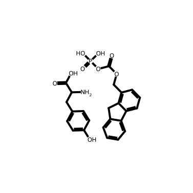 NC(Cc1ccc(O)cc1)C(=O)O.O=C(OCc1cccc2c1Cc1ccccc1-2)OP(=O)(O)O